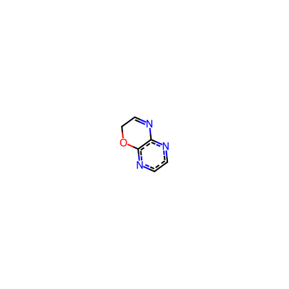 C1=Nc2nccnc2OC1